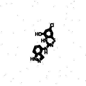 Oc1cc(Cl)cc2c1NC(Nc1cccc3[nH]ncc13)=NS2